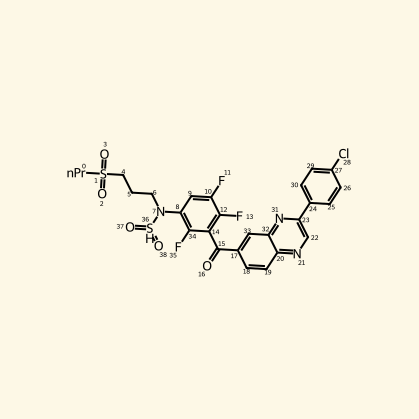 CCCS(=O)(=O)CCCN(c1cc(F)c(F)c(C(=O)c2ccc3ncc(-c4ccc(Cl)cc4)nc3c2)c1F)[SH](=O)=O